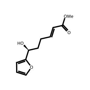 COC(=O)/C=C/CC[C@H](O)c1ccco1